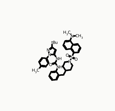 Cc1ccc(-n2nc(C(C)(C)C)cc2NC(=O)Nc2ccccc2CC2CCN(S(=O)(=O)c3cccc4c(N(C)C)cccc34)CC2)cc1